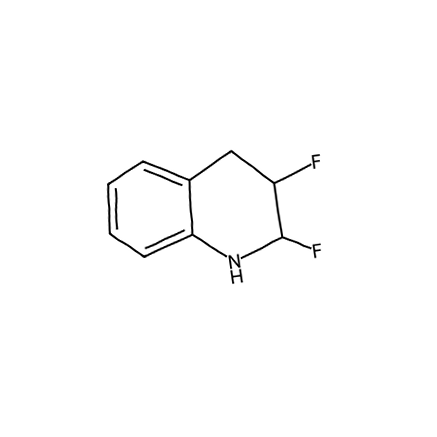 FC1Cc2ccccc2NC1F